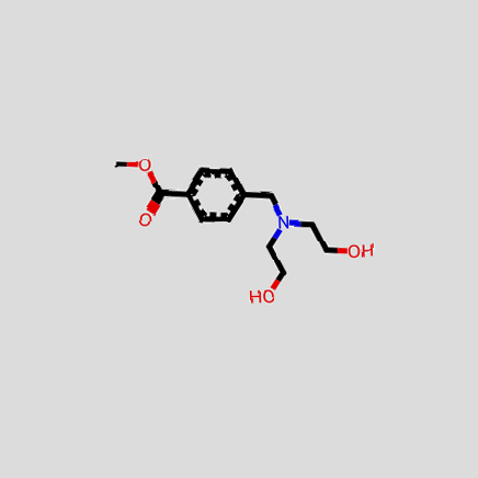 COC(=O)c1ccc(CN(CCO)CCO)cc1